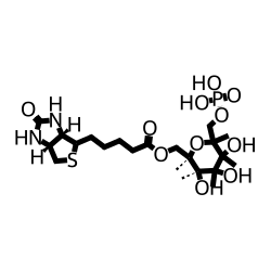 CC1(COP(=O)(O)O)O[C@](C)(COC(=O)CCCCC2SC[C@@H]3NC(=O)N[C@H]23)[C@](C)(O)C(C)(O)C1(C)O